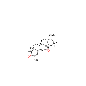 C=C[C@@]12CC[C@]3(C)C(=CC(=O)[C@@H]4[C@]5(C)CC(C)(C)CC[C@]5(CNC)CC[C@]43C)[C@@]1(C)C=C(C#N)C(=O)C2(C)C